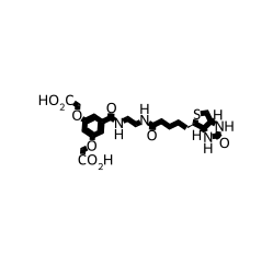 O=C(O)COc1cc(OCC(=O)O)cc(C(=O)NCCNC(=O)CCCC[C@@H]2SC[C@@H]3NC(=O)N[C@@H]32)c1